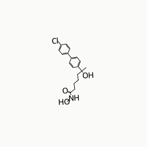 CC(O)(CCCCC(=O)NO)c1ccc(-c2ccc(Cl)cc2)cc1